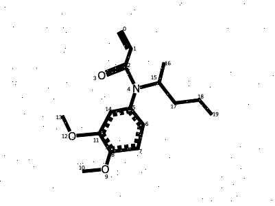 C=CC(=O)N(c1ccc(OC)c(OC)c1)C(C)CCC